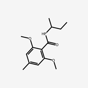 CCC(C)PC(=O)c1c(OC)cc(C)cc1OC